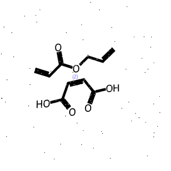 C=CCOC(=O)C=C.O=C(O)/C=C\C(=O)O